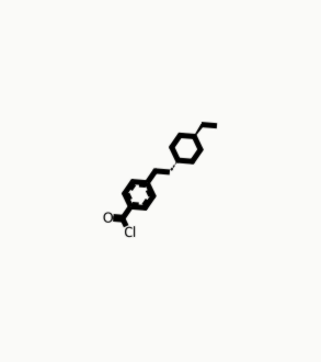 CC[C@H]1CC[C@H](CCc2ccc(C(=O)Cl)cc2)CC1